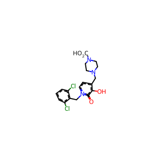 O=C(O)N1CCN(Cc2ccn(Cc3c(Cl)cccc3Cl)c(=O)c2O)CC1